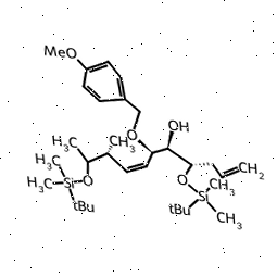 C=CC[C@H](O[Si](C)(C)C(C)(C)C)[C@H](O)[C@@H](/C=C\[C@@H](C)C(C)O[Si](C)(C)C(C)(C)C)OCc1ccc(OC)cc1